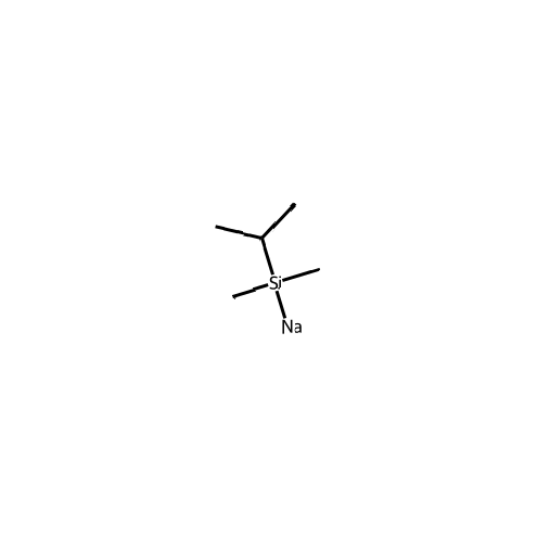 CC(C)[Si](C)(C)[Na]